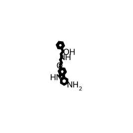 NC1CCc2[nH]c3cc(OCCNCC(O)c4ccccc4)ccc3c2C1